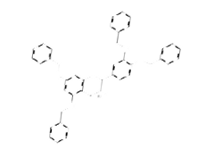 O[C@@H]1Cc2c(OCc3ccccc3)cc(OCc3ccccc3)cc2OC1c1ccc(OCc2ccccc2)c(OCc2ccccc2)c1